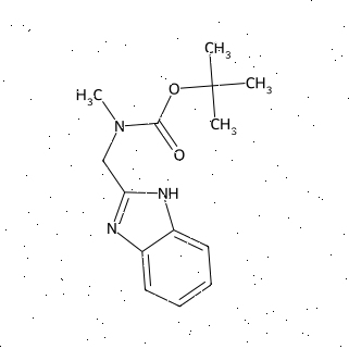 CN(Cc1nc2ccccc2[nH]1)C(=O)OC(C)(C)C